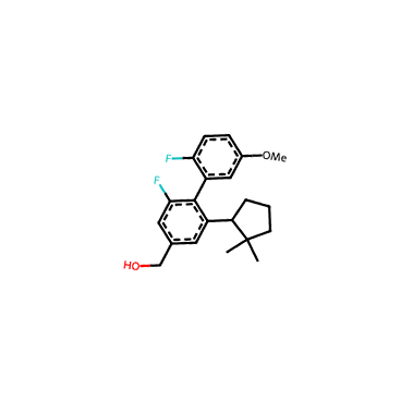 COc1ccc(F)c(-c2c(F)cc(CO)cc2C2CCCC2(C)C)c1